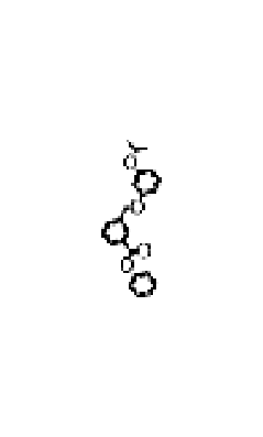 CC(C)Oc1cccc(OCc2cccc(C(=O)Oc3ccccc3)c2)c1